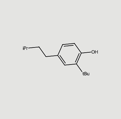 CC(C)CCc1ccc(O)c(C(C)(C)C)c1